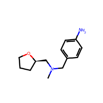 CN(Cc1ccc(N)cc1)C[C@H]1CCCO1